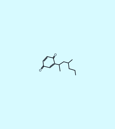 CCCC(C)CC(C)C1=CC(=O)C=CC1=O